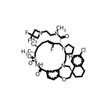 C[C@@H]1[C@@H](C)C/C=C(\F)[C@H](C(=O)N(C)CCN2CC(F)(F)C2)N2CCC[C@H]2CN2C[C@@]3(CCCc4cc(Cl)ccc43)COc3ccc(cc32)C(=O)NS1(=O)=O